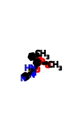 COCCOc1cc(C(=O)Nc2nnc(-c3ccncc3)s2)ccc1OC(C)c1ccccc1